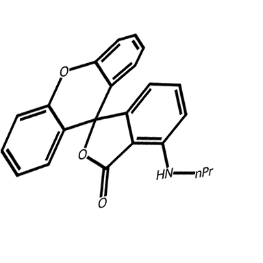 CCCNc1cccc2c1C(=O)OC21c2ccccc2Oc2ccccc21